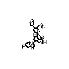 CCN(C)Cc1nc(Nc2ccc(-c3cnc4cc(F)ccn34)c3c2C(=O)NC3)ccc1C1CCOC1